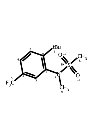 CN(c1cc(C(F)(F)F)ccc1C(C)(C)C)S(C)(=O)=O